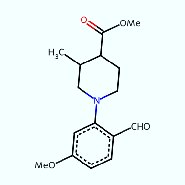 COC(=O)C1CCN(c2cc(OC)ccc2C=O)CC1C